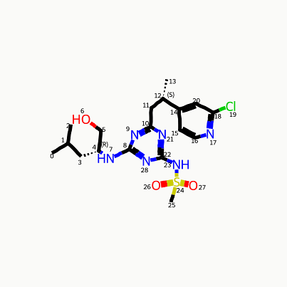 CC(C)C[C@H](CO)Nc1nc(C[C@H](C)c2ccnc(Cl)c2)nc(NS(C)(=O)=O)n1